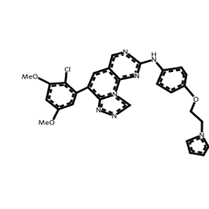 COc1cc(OC)c(Cl)c(-c2cc3cnc(Nc4ccc(OCCn5cccc5)cc4)nc3n3cnnc23)c1